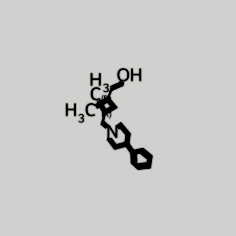 CC1(C)[C@@H](CCO)C[C@H]1CN1CCC(c2ccccc2)CC1